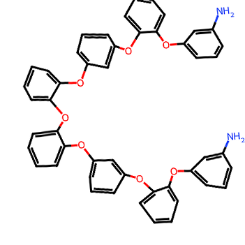 Nc1cccc(Oc2ccccc2Oc2cccc(Oc3ccccc3Oc3ccccc3Oc3cccc(Oc4ccccc4Oc4cccc(N)c4)c3)c2)c1